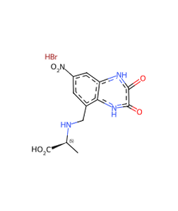 Br.C[C@H](NCc1cc([N+](=O)[O-])cc2[nH]c(=O)c(=O)[nH]c12)C(=O)O